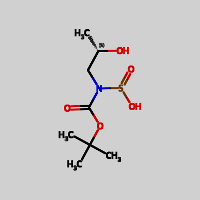 C[C@H](O)CN(C(=O)OC(C)(C)C)S(=O)O